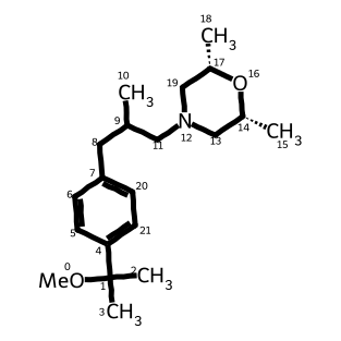 COC(C)(C)c1ccc(CC(C)CN2C[C@@H](C)O[C@@H](C)C2)cc1